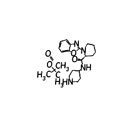 CC(C)(C)OC=O.O=C(NC1CCNCC1)[C@@H]1CCCCN1c1nc2ccccc2o1